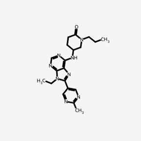 CCCN1CC(Nc2ncnc3c2nc(-c2cnc(C)nc2)n3CC)CCC1=O